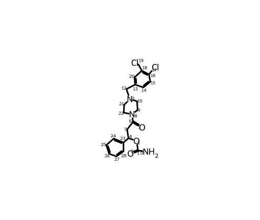 NC(=O)OC(CC(=O)N1CCN(Cc2ccc(Cl)c(Cl)c2)CC1)c1ccccc1